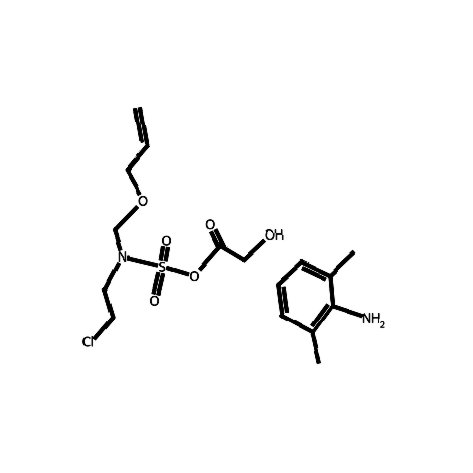 C=CCOCN(CCCl)S(=O)(=O)OC(=O)CO.Cc1cccc(C)c1N